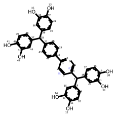 C=C(/C=C\C(=C/C)C(c1ccc(O)c(O)c1)c1ccc(O)c(O)c1)c1ccc(C(c2ccc(O)c(O)c2)c2ccc(O)c(O)c2)cc1